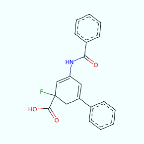 O=C(NC1=CC(F)(C(=O)O)CC(c2ccccc2)=C1)c1ccccc1